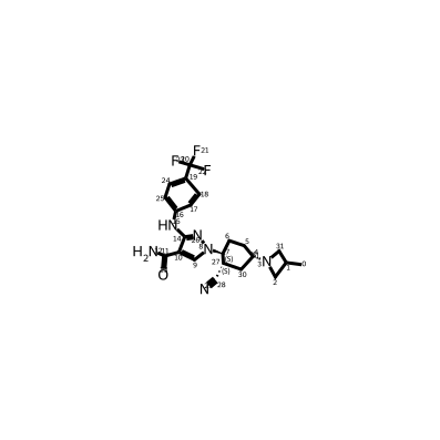 CC1CN([C@H]2CC[C@H](n3cc(C(N)=O)c(Nc4ccc(C(F)(F)F)cc4)n3)[C@@H](C#N)C2)C1